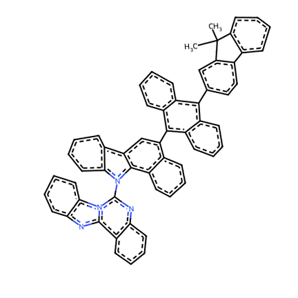 CC1(C)c2ccccc2-c2ccc(-c3c4ccccc4c(-c4cc5c6ccccc6n(-c6nc7ccccc7c7nc8ccccc8n67)c5c5ccccc45)c4ccccc34)cc21